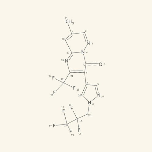 Cc1cnn2c(=O)c(-c3cnn(CC(F)(F)C(F)(F)F)c3)c(C(F)(F)F)nc2c1